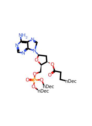 CCCCCCCCCCCCC(=O)O[C@H]1C[C@H](n2cnc3c(N)ncnc32)O[C@@H]1COP(=O)(OCCCCCCCCCC)OCCCCCCCCCC